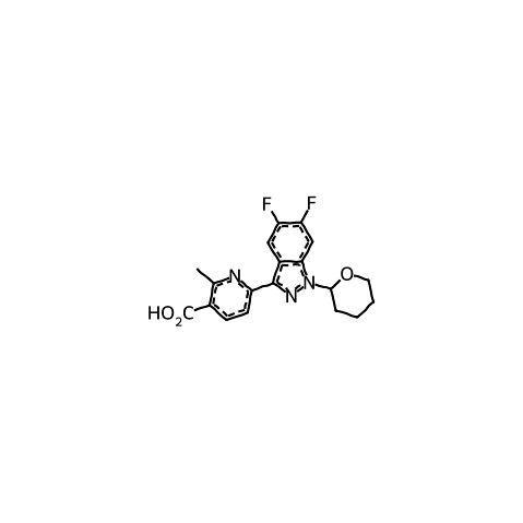 Cc1nc(-c2nn(C3CCCCO3)c3cc(F)c(F)cc23)ccc1C(=O)O